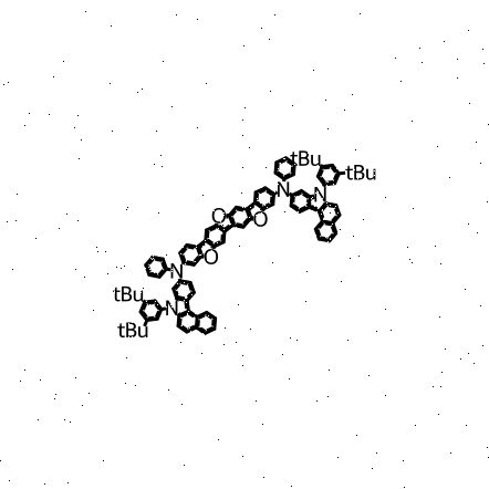 CC(C)(C)c1cc(-n2c3cc(N(c4ccccc4)c4ccc5c(c4)oc4cc6c(cc45)oc4cc5c(cc46)oc4cc(N(c6ccccc6)c6ccc7c8c9ccccc9ccc8n(-c8cc(C(C)(C)C)cc(C(C)(C)C)c8)c7c6)ccc45)ccc3c3c4ccccc4ccc32)cc(C(C)(C)C)c1